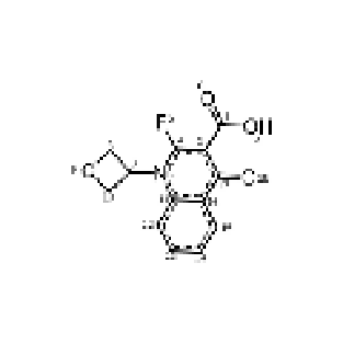 O=C(O)c1c(F)n(C2COC2)c2ccccc2c1=O